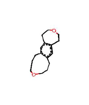 c1c2c(cc3c1CCOCC3)CCCOCCC2